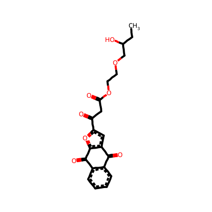 CCC(O)COCCOC(=O)CC(=O)c1cc2c(o1)C(=O)c1ccccc1C2=O